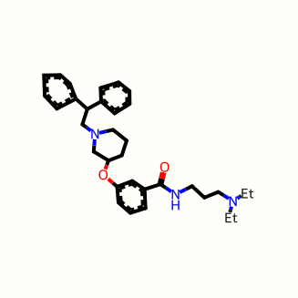 CCN(CC)CCCNC(=O)c1cccc(OC2CCCN(CC(c3ccccc3)c3ccccc3)C2)c1